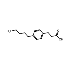 CCCCCc1ccc(CCC(=O)O)cc1